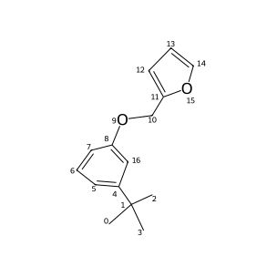 CC(C)(C)c1cccc(OCc2ccco2)c1